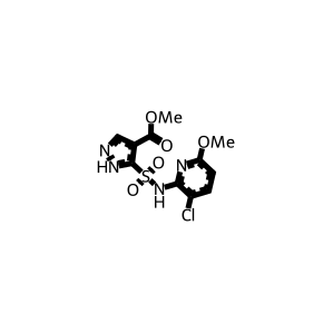 COC(=O)c1cn[nH]c1S(=O)(=O)Nc1nc(OC)ccc1Cl